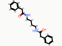 O=C(Cc1ccccc1)NCCCCNC(=O)Cc1ccccc1